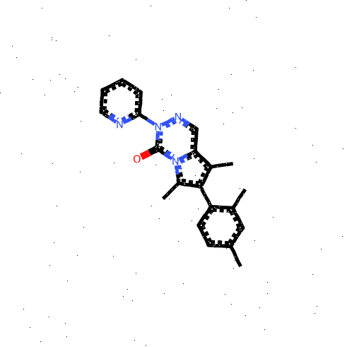 Cc1ccc(-c2c(C)c3cnn(-c4ccccn4)c(=O)n3c2C)c(C)c1